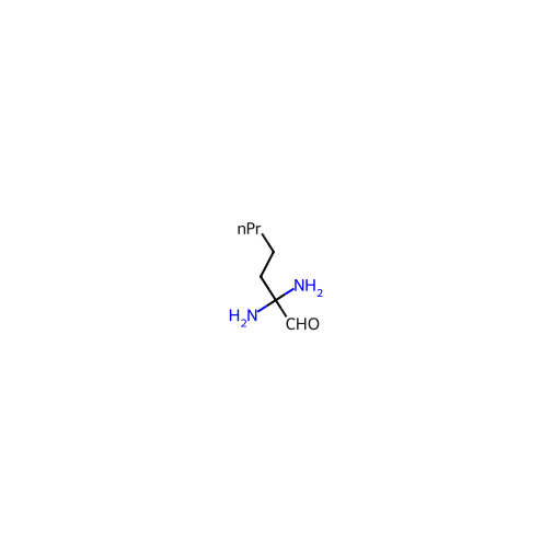 CCCCCC(N)(N)C=O